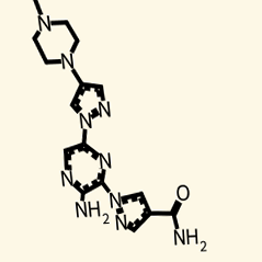 CN1CCN(c2cnn(-c3cnc(N)c(-n4cc(C(N)=O)cn4)n3)c2)CC1